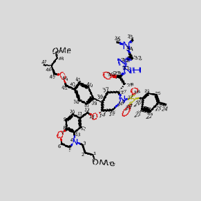 COCCCN1CCOc2ccc(CO[C@H]3CN(S(=O)(=O)c4ccc(C)cc4)[C@@H](CC(=O)N/N=C/N(C)C)C[C@@H]3c3ccc(COC[C@@H](C)COC)cc3)cc21